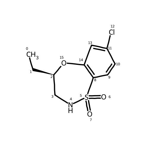 CC[C@@H]1CNS(=O)(=O)c2ccc(Cl)cc2O1